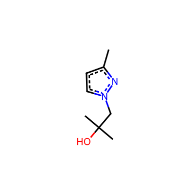 Cc1ccn(CC(C)(C)O)n1